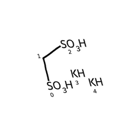 O=S(=O)(O)CS(=O)(=O)O.[KH].[KH]